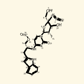 [N-]=[N+]=N[C@]1(CO)OC(n2ccc(N[C@@H](COC=O)Cc3cc4ccccc4[nH]3)nc2=O)[C@@H](F)C1O